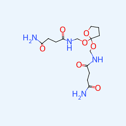 NC(=O)CCC(=O)NCOC1(OCNC(=O)CCC(N)=O)CCCO1